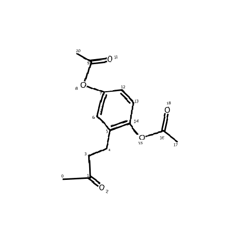 CC(=O)CCc1cc(OC(C)=O)ccc1OC(C)=O